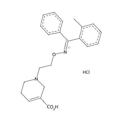 Cc1ccccc1/C(=N/OCCN1CCC=C(C(=O)O)C1)c1ccccc1.Cl